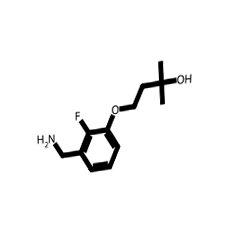 CC(C)(O)CCOc1cc[c]c(CN)c1F